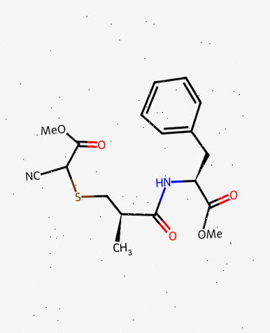 COC(=O)C(C#N)SC[C@H](C)C(=O)N[C@@H](Cc1ccccc1)C(=O)OC